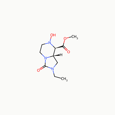 CCN1C[C@H]2[C@H](C(=O)OC)N(O)CCN2C1=O